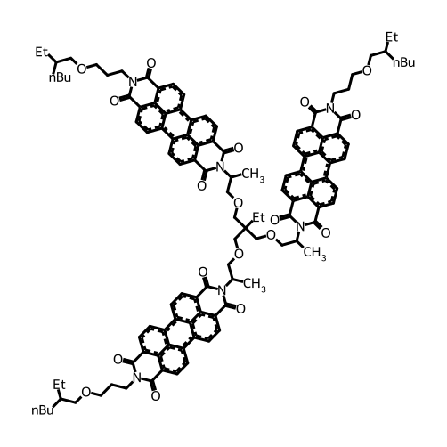 CCCCC(CC)COCCCN1C(=O)c2ccc3c4ccc5c6c(ccc(c7ccc(c2c37)C1=O)c64)C(=O)N(C(C)COCC(CC)(COCC(C)N1C(=O)c2ccc3c4ccc6c7c(ccc(c8ccc(c2c38)C1=O)c74)C(=O)N(CCCOCC(CC)CCCC)C6=O)COCC(C)N1C(=O)c2ccc3c4ccc6c7c(ccc(c8ccc(c2c38)C1=O)c74)C(=O)N(CCCOCC(CC)CCCC)C6=O)C5=O